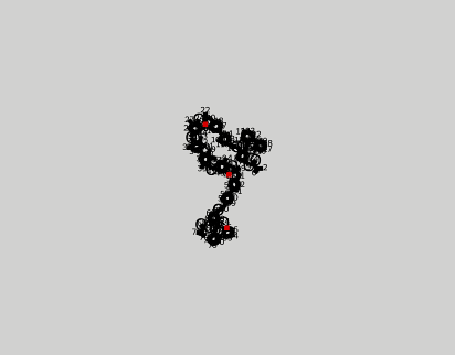 C=C(C)C(=O)Oc1ccc(OCc2ccc(-c3ccc(CC(C)(C)Oc4c(C)cc(Oc5c(C)cc(-c6cc(C)c(Oc7cc(C)c(OC(C)(C)Cc8ccc(-c9ccc(COc%10ccc(OC(=O)C(=C)C)c(P%11(=O)Oc%12ccccc%12-c%12ccccc%12%11)c%10)cc9)cc8)c(C)c7)c(C)c6C)c(C)c5C)cc4C)cc3)cc2)c(P2(=O)Oc3ccccc3-c3ccccc32)c1